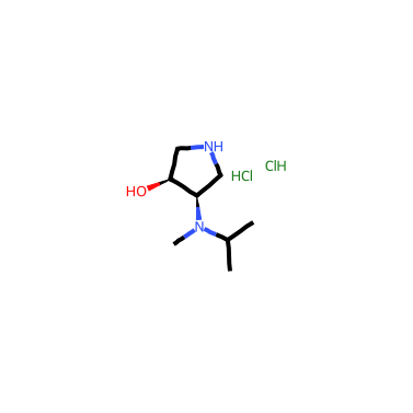 CC(C)N(C)[C@@H]1CNC[C@@H]1O.Cl.Cl